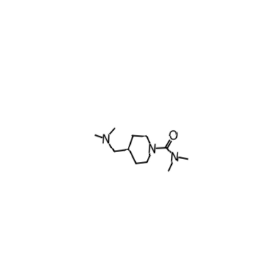 CN(C)CC1CCN(C(=O)N(C)C)CC1